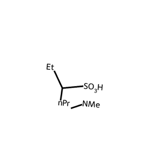 CNC.[CH2]CC(CCC)S(=O)(=O)O